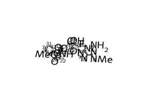 CNc1nc(N)nc2c1ncn2[C@@H]1O[C@](CCl)(CO[P@@](=O)(N[C@H](C)C(=O)OC)Oc2ccccc2)[C@@H](O)[C@@H]1F